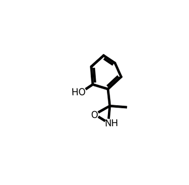 CC1(c2ccccc2O)NO1